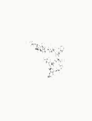 CC[C@@]1(O)C(=O)OCc2c1cc1n(c2=O)Cc2c-1nc1cc(F)c(C)c3c1c2[C@@H](NC(=O)C1(COCNC(=O)CNC(=O)C(Cc2ccccc2)NC(=O)CNC(=O)CNC(=O)[C@H](CNCC(=O)O)N2C(=O)C=CC2=O)CC1)CC3